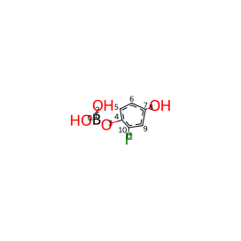 OB(O)Oc1ccc(O)cc1F